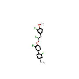 CCCCc1ccc(-c2ccc(OCC(F)Cc3ccc(OCC)c(F)c3)c(F)c2)c(F)c1